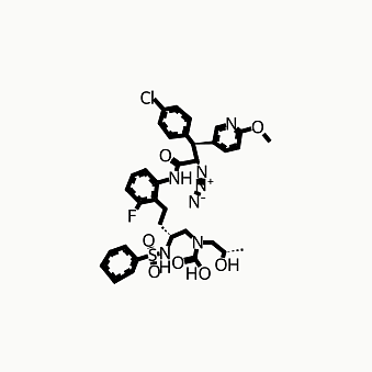 COc1ccc([C@H](c2ccc(Cl)cc2)[C@H](N=[N+]=[N-])C(=O)Nc2cccc(F)c2CC[C@H](CN(C[C@H](C)O)C(=O)O)NS(=O)(=O)c2ccccc2)cn1